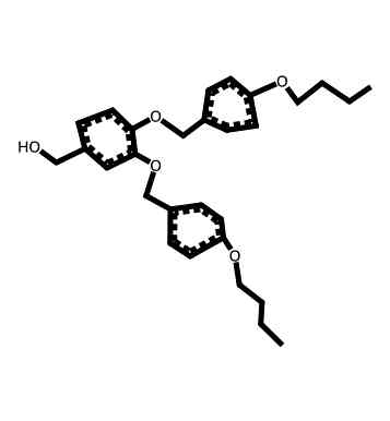 CCCCOc1ccc(COc2ccc(CO)cc2OCc2ccc(OCCCC)cc2)cc1